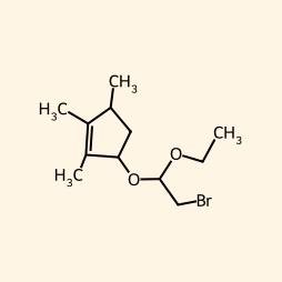 CCOC(CBr)OC1CC(C)C(C)=C1C